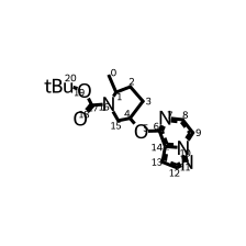 CC1CCC(Oc2nccn3nccc23)CN1C(=O)OC(C)(C)C